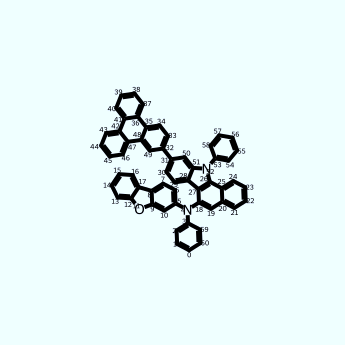 c1ccc(N(c2ccc3c(c2)oc2ccccc23)c2cc3ccccc3c3c2c2ccc(-c4ccc5c6ccccc6c6ccccc6c5c4)cc2n3-c2ccccc2)cc1